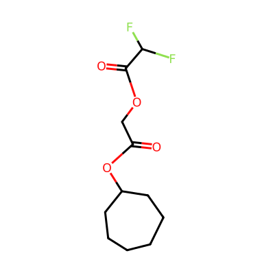 O=C(COC(=O)C(F)F)OC1CCCCCC1